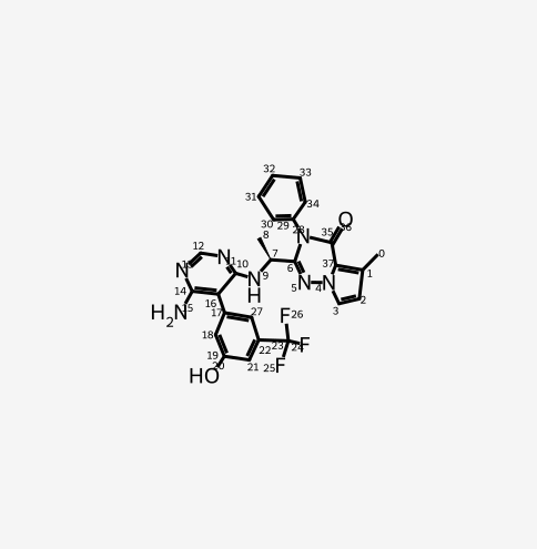 Cc1ccn2nc([C@H](C)Nc3ncnc(N)c3-c3cc(O)cc(C(F)(F)F)c3)n(-c3ccccc3)c(=O)c12